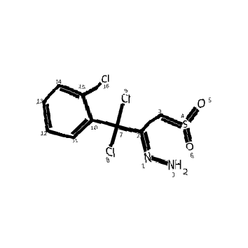 NN=C(C=S(=O)=O)C(Cl)(Cl)c1ccccc1Cl